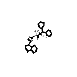 CC(C)(C(=O)Nc1nc(-c2ccc(F)c3ccccc23)cs1)C(c1ccccc1)c1ccccc1